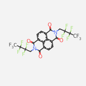 O=C1c2ccc3c4c(ccc(c24)C(=O)N1CC(F)(F)C(F)(F)C(F)(F)F)C(=O)N(CC(F)(F)C(F)(F)C(F)(F)F)C3=O